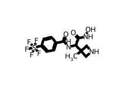 CC1(C(NC(=O)c2ccc(S(F)(F)(F)(F)F)cc2)C(=O)NO)CNC1